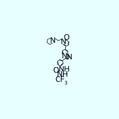 O=C(NCC(F)(F)F)Nc1cccc(-c2cnc3cc(-c4ccc(=O)n(CCCN5CCCCC5)c4)ccn23)c1